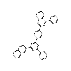 c1ccc(-c2nc(-c3ccc(-c4nc(-c5ccccc5)c5ccccc5n4)cc3)cc(-c3ccc4ccccc4c3)n2)cc1